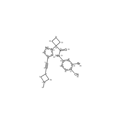 CN1CC(C#Cc2cnn(C3(C(=O)Nc4ccc(C#N)c(Br)c4)CCC3)c2)C1